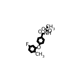 Cc1ccc(F)cc1Oc1ccc(C(=O)NS(C)(=O)=O)cc1